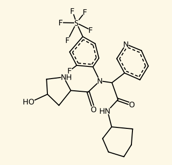 O=C(NC1CCCCC1)C(c1cccnc1)N(C(=O)C1CC(O)CN1)c1ccc(S(F)(F)(F)(F)F)cc1F